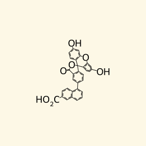 O=C(O)c1ccc2c(-c3ccc4c(c3)C(=O)OC43c4ccc(O)cc4Oc4cc(O)ccc43)cccc2c1